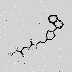 CNC(=O)COC(=O)NCCC1CCN(c2ccnc3ccccc23)CC1